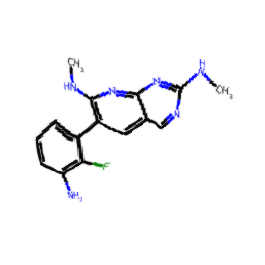 CNc1ncc2cc(-c3cccc(N)c3F)c(NC)nc2n1